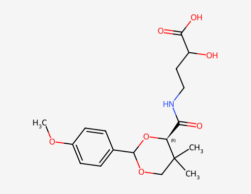 COc1ccc(C2OCC(C)(C)[C@H](C(=O)NCCC(O)C(=O)O)O2)cc1